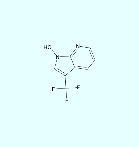 On1cc(C(F)(F)F)c2cccnc21